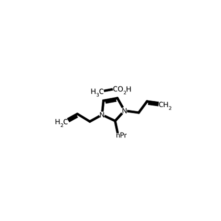 C=CCN1C=CN(CC=C)C1CCC.CC(=O)O